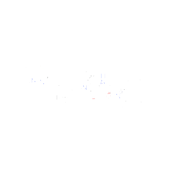 Cc1nnc(SCC2=C(C(=O)O)N3C(=O)C(NC(=O)CC4(N)CCCCC4)[C@H]3SC2)s1